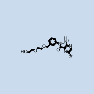 Nc1ncc(Br)nc1C(=O)Nc1cccc(COCCOCCO)c1